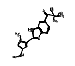 CCC(C)(C)C(=O)c1ccc2nc(-c3cc(NC(C)(C)C)cn3C)[nH]c2c1